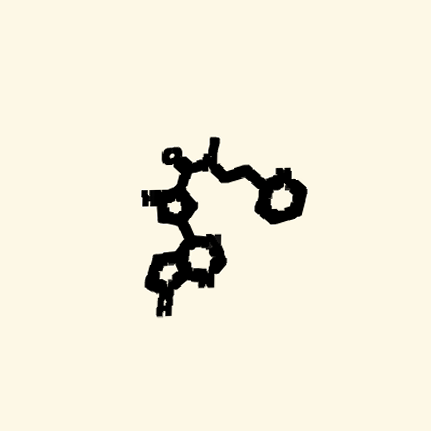 CN(CCc1ccccn1)C(=O)c1cc(-c2ncnc3[nH]ccc23)c[nH]1